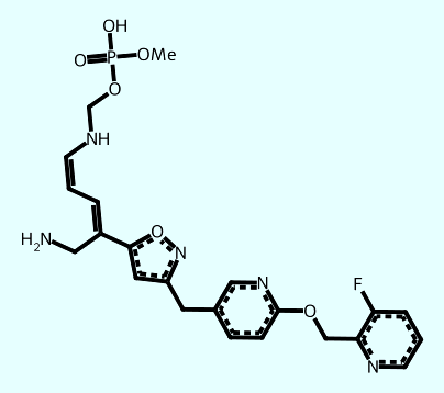 COP(=O)(O)OCN/C=C\C=C(/CN)c1cc(Cc2ccc(OCc3ncccc3F)nc2)no1